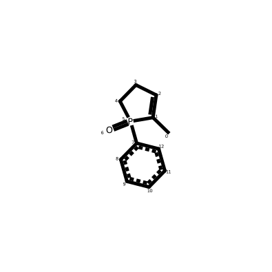 CC1=CCCP1(=O)c1ccccc1